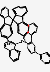 Brc1ccc2c(c1)C1(c3ccccc3-2)c2ccccc2-c2ccc(N(c3ccc(-c4ccccc4)cc3-c3ccccc3)c3cccc4ccccc34)cc21